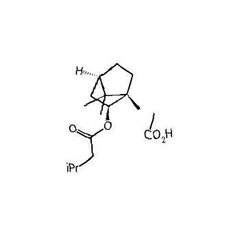 CC(=O)O.CC(C)CC(=O)O[C@H]1C[C@H]2CC[C@@]1(C)C2(C)C